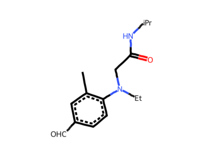 CCN(CC(=O)NC(C)C)c1ccc(C=O)cc1C